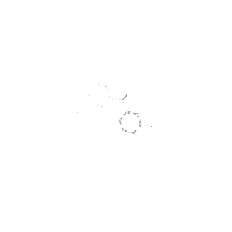 N#CC1CCCN(C(=O)c2ccc(F)c(F)c2)C1